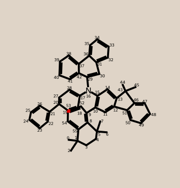 CC1(C)CCC(C)(C)c2c(-c3cc4c(cc3N(c3ccc(-c5ccccc5)cc3)c3cc5ccccc5c5ccccc35)C(C)(C)c3ccccc3-4)cccc21